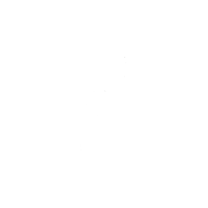 B/C=C/c1ccc(/C=C/Br)cc1